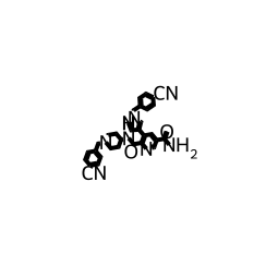 N#Cc1ccc(CN2CCC(NC(=O)c3ncc(C(N)=O)cc3-c3cnn(Cc4ccc(C#N)cc4)c3)CC2)cc1